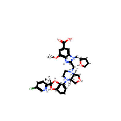 COc1cc(C(=O)O)cc2c1nc(CN1CCN(c3cccc4c3O[C@@](C)(c3ccc(Cl)cn3)O4)[C@@H]3COC[C@@H]31)n2C[C@@H]1CCCO1